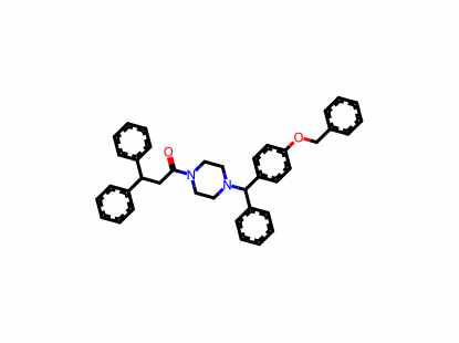 O=C(CC(c1ccccc1)c1ccccc1)N1CCN(C(c2ccccc2)c2ccc(OCc3ccccc3)cc2)CC1